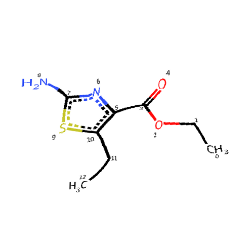 CCOC(=O)c1nc(N)sc1CC